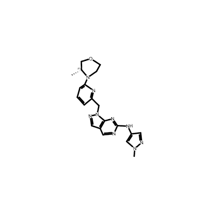 C[C@@H]1COCCN1c1cccc(Cn2ncc3cnc(Nc4cnn(C)c4)nc32)n1